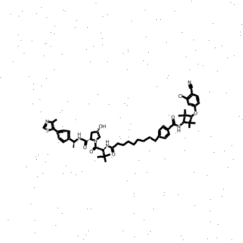 Cc1ncsc1-c1ccc([C@H](C)NC(=O)[C@@H]2C[C@@H](O)CN2C(=O)[C@@H](NC(=O)CCCCCCCCc2ccc(C(=O)NC3C(C)(C)C(Oc4ccc(C#N)c(Cl)c4)C3(C)C)cc2)C(C)(C)C)cc1